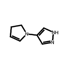 [c]1n[nH]cc1N1C=CCC1